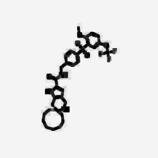 COc1ccc(OC(F)(F)F)cc1S(=O)(=O)c1ccc(CNC(=O)c2cc3c([nH]2)CC2(CCCCCCCC2)NC3)cc1